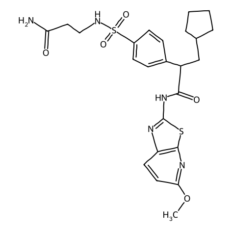 COc1ccc2nc(NC(=O)C(CC3CCCC3)c3ccc(S(=O)(=O)NCCC(N)=O)cc3)sc2n1